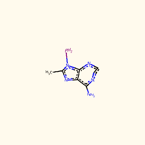 Cc1nc2c(N)ncnc2n1P